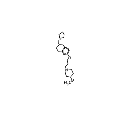 COC1CCN(CCCOc2ccc3c(c2)CCC(CN2CCCC2)C3)CC1